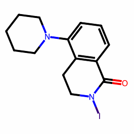 O=C1c2cccc(N3CCCCC3)c2CCN1I